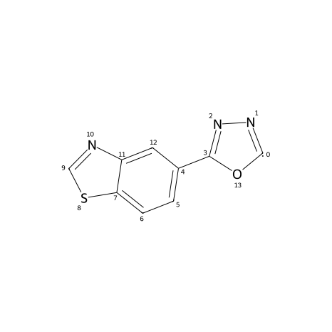 [c]1nnc(-c2ccc3scnc3c2)o1